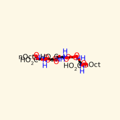 CCCCCCCCOC(=O)NC(CCCCNC(=O)OCCCCOC(=O)NCCCCC(NC(=O)OCCCCOC(=O)NCCCCC(NC(=O)OCCCCCCCC)C(=O)O)C(=O)O)C(=O)O